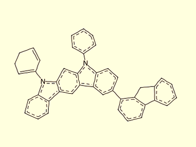 C1=CC(n2c3ccccc3c3cc4c5cc(-c6cccc7c6Cc6ccccc6-7)ccc5n(-c5ccccc5)c4cc32)=CCC1